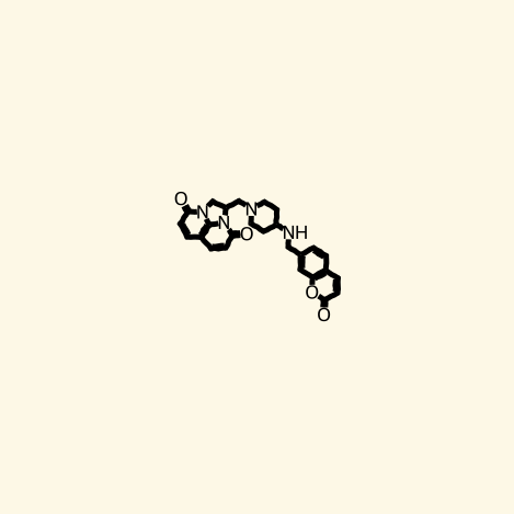 O=c1ccc2ccc(CNC3CCN(CC4Cn5c(=O)ccc6ccc(=O)n4c65)CC3)cc2o1